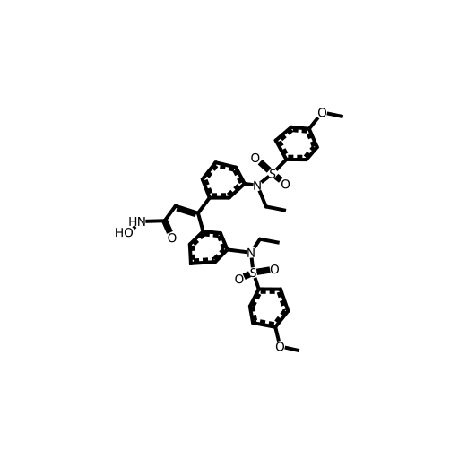 CCN(c1cccc(C(=CC(=O)NO)c2cccc(N(CC)S(=O)(=O)c3ccc(OC)cc3)c2)c1)S(=O)(=O)c1ccc(OC)cc1